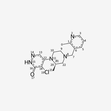 Cc1ncccc1CN1CCN(c2cn[nH]c(=O)c2Cl)[C@H](C)C1